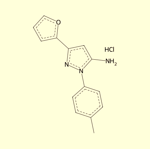 Cc1ccc(-n2nc(-c3ccco3)cc2N)cc1.Cl